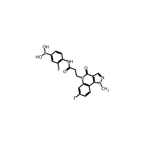 Cn1ncc2c(=O)n(CCC(=O)Nc3ccc(B(O)O)cc3F)c3cc(F)ccc3c21